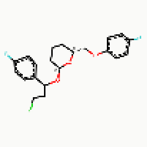 Fc1ccc(OC[C@H]2CCC[C@H](OC(CCCl)c3ccc(F)cc3)O2)cc1